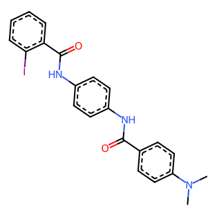 CN(C)c1ccc(C(=O)Nc2ccc(NC(=O)c3ccccc3I)cc2)cc1